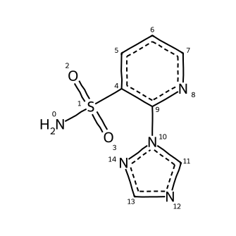 NS(=O)(=O)c1cccnc1-n1cncn1